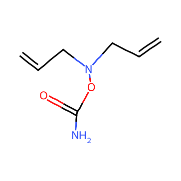 C=CCN(CC=C)OC(N)=O